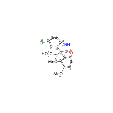 COc1cccc(C2(CC(=O)O)C(=O)Nc3ccc(Cl)cc32)c1OC